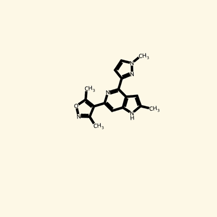 Cc1cc2c(-c3ccn(C)n3)nc(-c3c(C)noc3C)cc2[nH]1